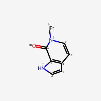 CC(C)n1ccc2cc[nH]c2c1=O